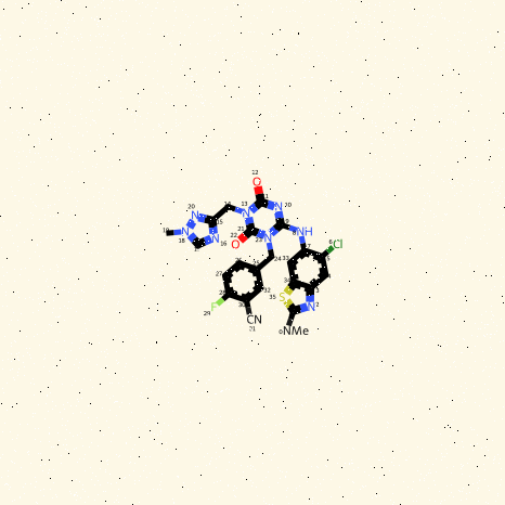 CNc1nc2cc(Cl)c(Nc3nc(=O)n(Cc4ncn(C)n4)c(=O)n3Cc3ccc(F)c(C#N)c3)cc2s1